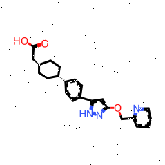 O=C(O)C[C@H]1CC[C@H](c2ccc(-c3cc(OCc4ccccn4)n[nH]3)cc2)CC1